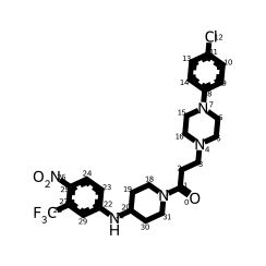 O=C(CCN1CCN(c2ccc(Cl)cc2)CC1)N1CCC(Nc2ccc([N+](=O)[O-])c(C(F)(F)F)c2)CC1